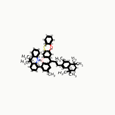 Cc1cc2c3c(c1)C(CCc1cc4c(cc1C)C(C)(C)CCC4(C)C)c1cc4c(cc1B3N1c3ccccc3C(C)(C)c3cccc-2c31)Sc1ccccc1O4